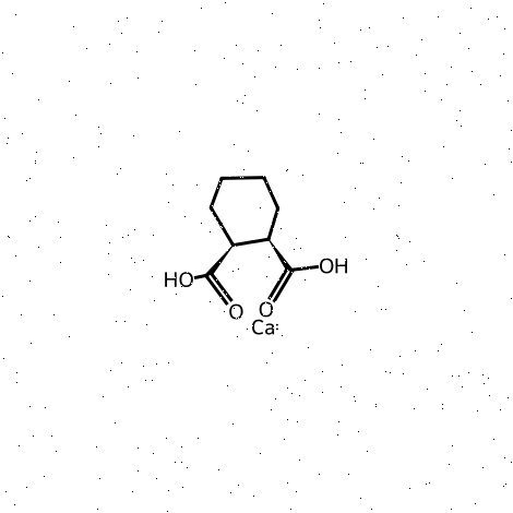 O=C(O)[C@H]1CCCC[C@H]1C(=O)O.[Ca]